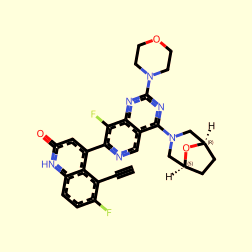 C#Cc1c(F)ccc2[nH]c(=O)cc(-c3ncc4c(N5C[C@H]6CC[C@@H](C5)O6)nc(N5CCOCC5)nc4c3F)c12